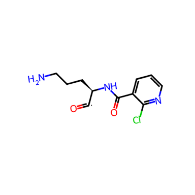 NCCC[C@H]([C]=O)NC(=O)c1cccnc1Cl